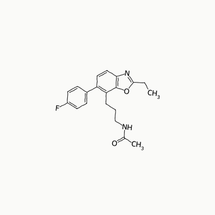 CCc1nc2ccc(-c3ccc(F)cc3)c(CCCNC(C)=O)c2o1